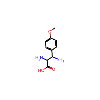 COc1ccc(C(N)C(N)C(=O)O)cc1